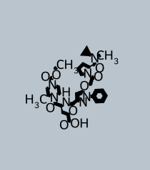 CCOC(=O)N1CCN(C(=O)[C@H](CCC(=O)O)NC(=O)c2cc(OCC(=O)N3CCC[C@H]3C(=O)N(C)C3CC3)n(-c3ccccc3)n2)[C@H](C)C1